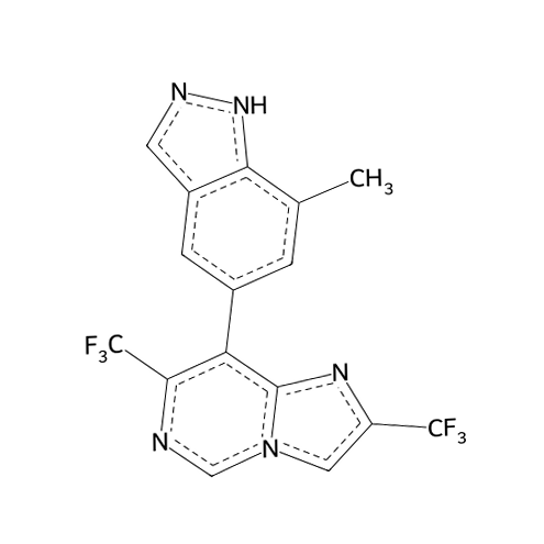 Cc1cc(-c2c(C(F)(F)F)ncn3cc(C(F)(F)F)nc23)cc2cn[nH]c12